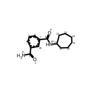 NC(=O)c1cccc(C(=O)NC2CCCCCC2)c1